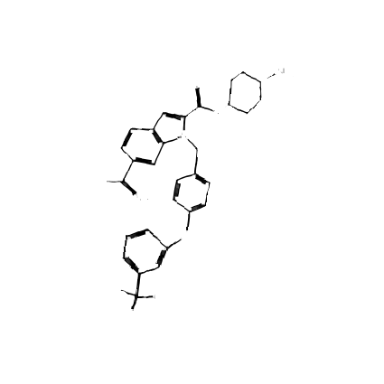 N=C(N)c1ccc2cc(C(=O)N[C@H]3CC[C@H](N)CC3)n(Cc3ccc(Oc4cccc(C(F)(F)F)c4)cc3)c2c1